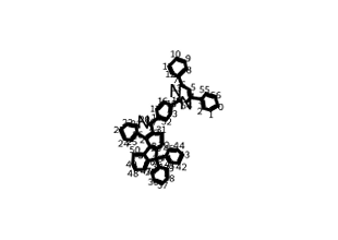 c1ccc(-c2cc(-c3ccccc3)nc(-c3ccc(-c4nc5ccccc5c5c6c(ccc45)C(c4ccccc4)(c4ccccc4)c4ccccc4-6)cc3)n2)cc1